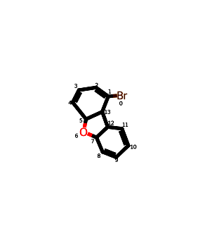 BrC1=CC=CC2OC3C=CC=CC3C12